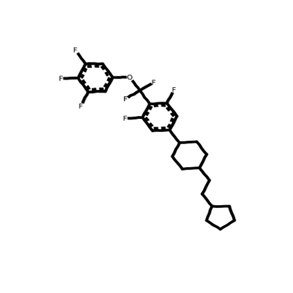 Fc1cc(OC(F)(F)c2c(F)cc(C3CCC(CCC4CCCC4)CC3)cc2F)cc(F)c1F